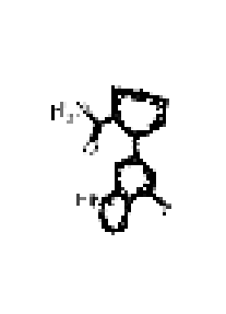 NC(=O)c1ccccc1-c1cc(F)c2cc[nH]c2c1